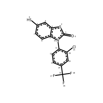 O=c1sc2cc(S)ccc2n1-c1ccc(C(F)(F)F)cc1Cl